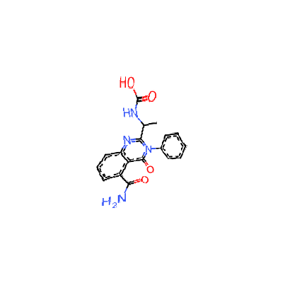 CC(NC(=O)O)c1nc2cccc(C(N)=O)c2c(=O)n1-c1ccccc1